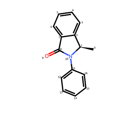 C[C@@H]1c2ccccc2C(=O)N1c1ccccc1